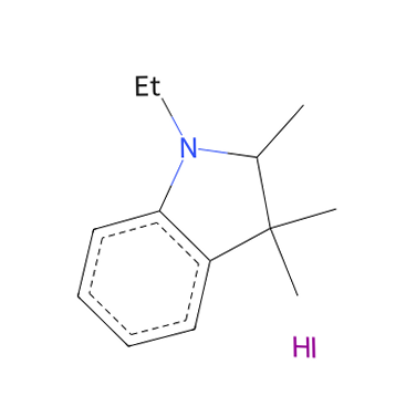 CCN1c2ccccc2C(C)(C)C1C.I